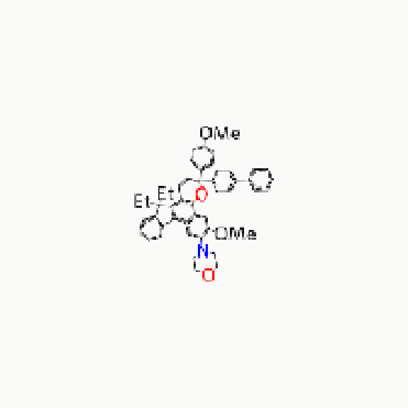 CCC1(CC)c2ccccc2-c2c1c1c(c3cc(OC)c(N4CCOCC4)cc23)OC(c2ccc(OC)cc2)(c2ccc(-c3ccccc3)cc2)C=C1